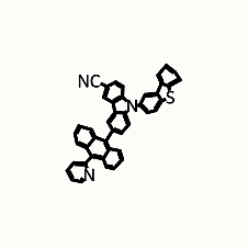 N#Cc1ccc2c(c1)c1cc(-c3c4ccccc4c(-c4ccccn4)c4ccccc34)ccc1n2-c1ccc2sc3ccccc3c2c1